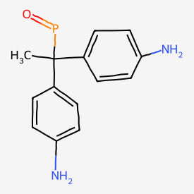 CC(P=O)(c1ccc(N)cc1)c1ccc(N)cc1